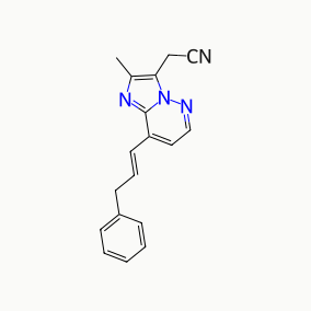 Cc1nc2c(/C=C/Cc3ccccc3)ccnn2c1CC#N